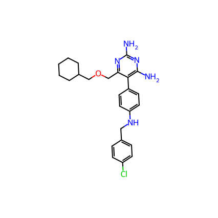 Nc1nc(N)c(-c2ccc(NCc3ccc(Cl)cc3)cc2)c(COCC2CCCCC2)n1